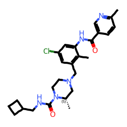 Cc1ccc(C(=O)Nc2cc(Cl)cc(CN3CCN(C(=O)NCC4CCC4)[C@@H](C)C3)c2C)cn1